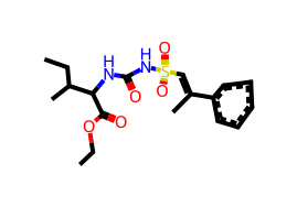 CCOC(=O)C(NC(=O)NS(=O)(=O)/C=C(\C)c1ccccc1)C(C)CC